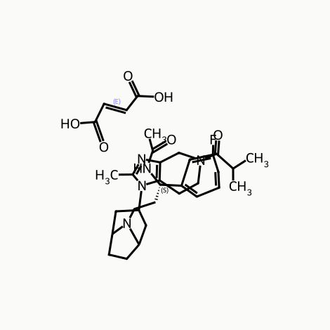 CC(=O)N[C@@H](CCN1C2CCC1CC(n1c(C)nc3c1CCN(C(=O)C(C)C)C3)C2)c1cccc(F)c1.O=C(O)/C=C/C(=O)O